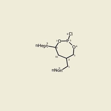 CCCCCCCCCCC1COP(Cl)OC(CCCCCCC)C1